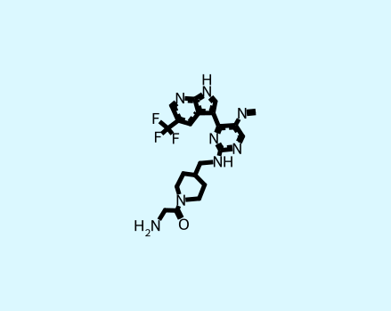 C=Nc1cnc(NCC2CCN(C(=O)CN)CC2)nc1-c1c[nH]c2ncc(C(F)(F)F)cc12